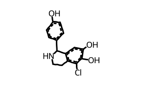 Oc1ccc(C2NCCc3c2cc(O)c(O)c3Cl)cc1